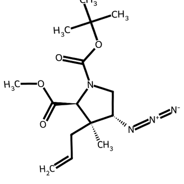 C=CC[C@]1(C)[C@@H](N=[N+]=[N-])CN(C(=O)OC(C)(C)C)[C@@H]1C(=O)OC